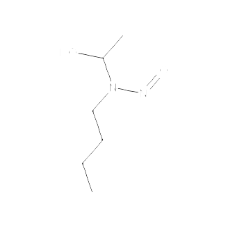 CCCCN(N=O)C(C)O